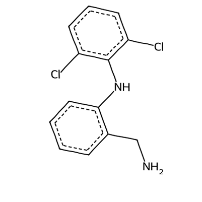 NCc1ccccc1Nc1c(Cl)cccc1Cl